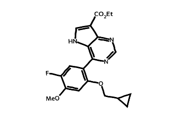 CCOC(=O)c1c[nH]c2c(-c3cc(F)c(OC)cc3OCC3CC3)ncnc12